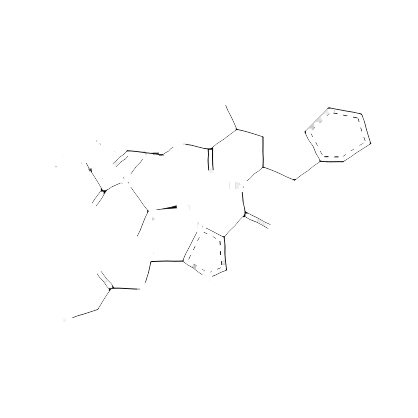 C=CCOC(=O)C(C)CC(Cc1ccccc1)NC(=O)c1csc([C@@H](C[C@H](C(C)C)N(C)C(=O)[C@@H](N)[C@@H](C)CC)OC(=O)CC(C)(C)C)n1